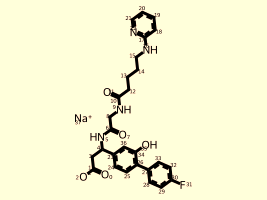 O=C([O-])CC(NC(=O)CNC(=O)CCCCNc1ccccn1)c1ccc(-c2ccc(F)cc2)c(O)c1.[Na+]